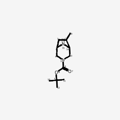 CC1CC2CN(C(=O)OC(C)(C)C)CC1N2